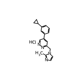 Cc1nccn1Cc1cc(-c2cccc(C3CC3)c2)cnn1.Cl